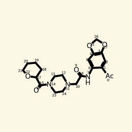 CC(=O)c1cc2c(cc1NC(=O)CN1CCN(C(=O)C3CCCCO3)CC1)OCO2